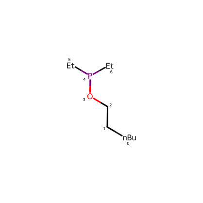 CCCCCCOP(CC)CC